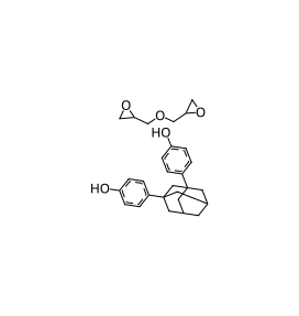 C(OCC1CO1)C1CO1.Oc1ccc(C23CC4CC(C2)CC(c2ccc(O)cc2)(C4)C3)cc1